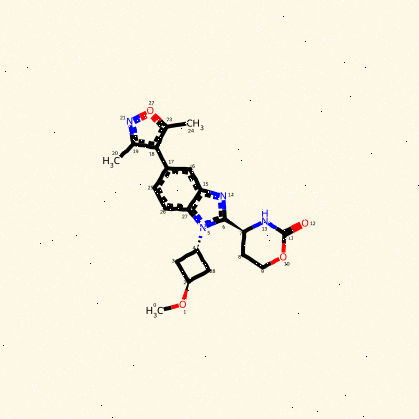 CO[C@H]1C[C@H](n2c([C@@H]3CCOC(=O)N3)nc3cc(-c4c(C)noc4C)ccc32)C1